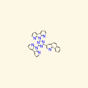 c1ccc2c(c1)ccc1cc(-c3nc(-n4c5ncccc5c5cccnc54)nc(-n4c5ncccc5c5cccnc54)n3)cnc12